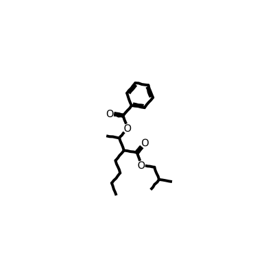 CCCCC(C(=O)OCC(C)C)C(C)OC(=O)c1ccccc1